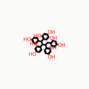 Oc1ccc(C(c2ccc(O)cc2O)C(c2ccc(O)cc2O)C(Cc2ccc(O)cc2O)c2ccc(O)cc2O)cc1